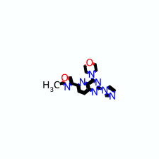 Cc1nc(-c2ccc3nc(-n4ccnc4)nc(N4CCOCC4)c3n2)co1